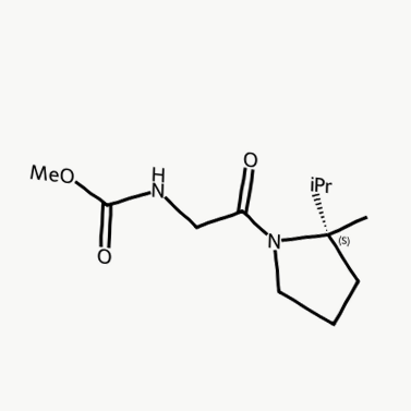 COC(=O)NCC(=O)N1CCC[C@@]1(C)C(C)C